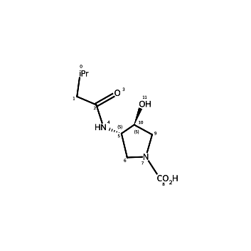 CC(C)CC(=O)N[C@H]1CN(C(=O)O)C[C@@H]1O